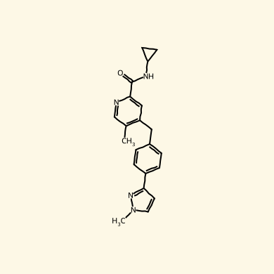 Cc1cnc(C(=O)NC2CC2)cc1Cc1ccc(-c2ccn(C)n2)cc1